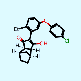 CCc1ccc(Oc2ccc(Cl)cc2)cc1C1=C(O)[C@H]2[C@H]3CC[C@H](C3)[C@H]2C1=O